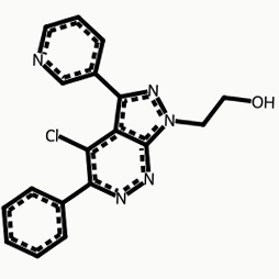 OCCn1nc(-c2cccnc2)c2c(Cl)c(-c3ccccc3)nnc21